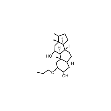 CCCO[C@H]1C[C@@]2(C)[C@@H](CC[C@@H]3[C@@H]2[C@@H](O)C[C@]2(C)[C@@H](C)CC[C@@H]32)C[C@@H]1O